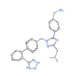 CC(C)Cc1nc(-c2ccc(CN)cc2)n(Cc2ccc(-c3ccccc3-c3nnn[nH]3)cc2)n1